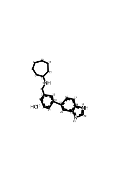 Cl.c1cc(CNC2CCCCCC2)cc(-c2ccc3[nH]cnc3c2)c1